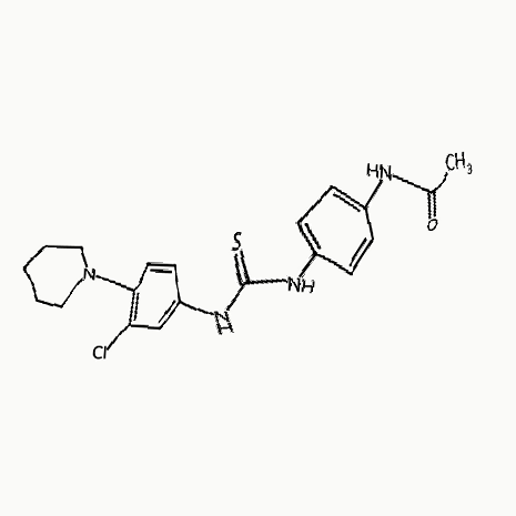 CC(=O)Nc1ccc(NC(=S)Nc2ccc(N3CCCCC3)c(Cl)c2)cc1